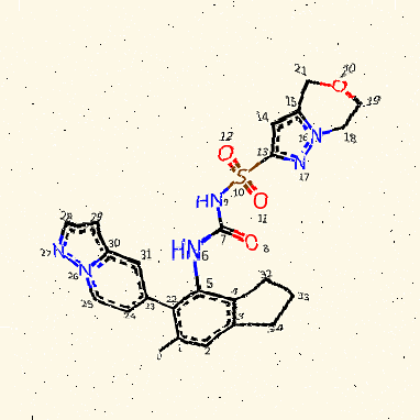 Cc1cc2c(c(NC(=O)NS(=O)(=O)c3cc4n(n3)CCOC4)c1-c1ccn3nccc3c1)CCC2